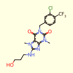 Cn1c(NCCCO)nc2c1c(=O)n(Cc1ccc(C(F)(F)F)c(Cl)c1)c(=O)n2C